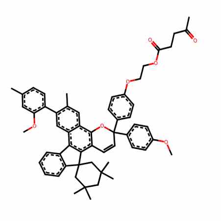 COc1ccc(C2(c3ccc(OCCOC(=O)CCC(C)=O)cc3)C=Cc3c4c(c5cc(-c6ccc(C)cc6OC)c(C)cc5c3O2)-c2ccccc2C42CC(C)(C)CC(C)(C)C2)cc1